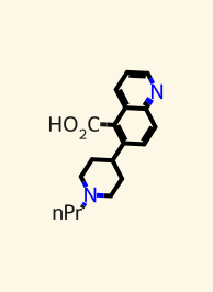 CCCN1CCC(c2ccc3ncccc3c2C(=O)O)CC1